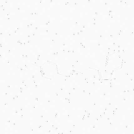 C/C=C/c1ccc(CNCCc2c[nH]c3ccccc23)cc1